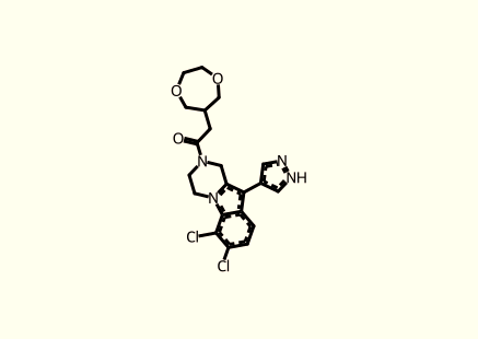 O=C(CC1COCCOC1)N1CCn2c(c(-c3cn[nH]c3)c3ccc(Cl)c(Cl)c32)C1